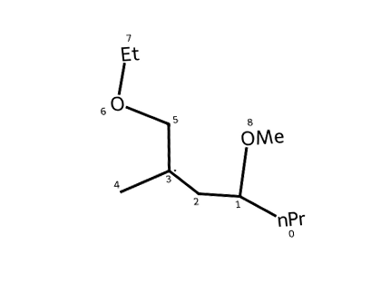 CCCC(C[C](C)COCC)OC